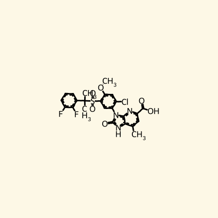 COc1cc(Cl)c(-n2c(=O)[nH]c3c(C)cc(C(=O)O)nc32)cc1S(=O)(=O)C(C)(C)c1cccc(F)c1F